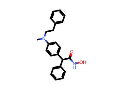 CN(CCc1ccccc1)c1ccc(C(C(=O)NO)c2ccccc2)cc1